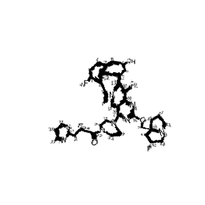 C#Cc1c(F)ccc2cc(O)cc(-c3ncc4c(N5CCN(C(=O)/C(F)=C/c6ncccn6)CC5)nc(OC[C@@]56CCCN5C[C@H](F)C6)nc4c3F)c12